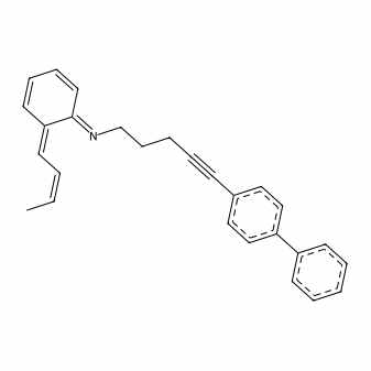 C\C=C/C=C1/C=CC=C/C1=N\CCCC#Cc1ccc(-c2ccccc2)cc1